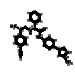 C[C@H](CN[C@@H](C(=O)Nc1ccc(-c2cnn(C)c2)cn1)c1ccccc1)c1ccc(C#N)cc1